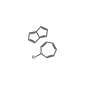 C1=CC2=CC=CC2=C1.CCN1C=CC=CC=C1